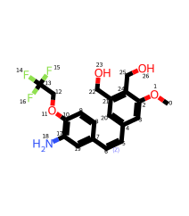 COc1cc(/C=C\c2ccc(OCC(F)(F)F)c(N)c2)cc(CO)c1CO